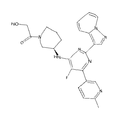 Cc1ccc(-c2nc(-c3cnn4ccccc34)nc(N[C@@H]3CCCN(C(=O)CO)C3)c2F)cn1